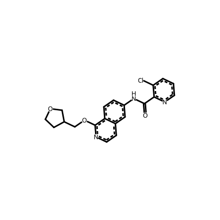 O=C(Nc1ccc2c(OCC3CCOC3)nccc2c1)c1ncccc1Cl